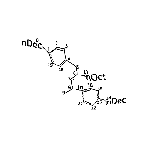 CCCCCCCCCCc1ccc(CC([CH]C(C)c2ccc(CCCCCCCCCC)cc2)CCCCCCCC)cc1